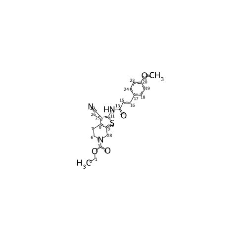 CCOC(=O)N1CCc2c(sc(NC(=O)/C=C/c3ccc(OC)cc3)c2C#N)C1